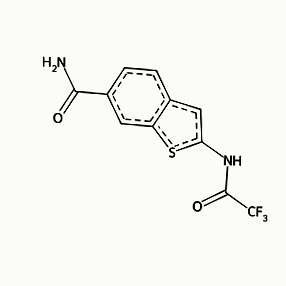 NC(=O)c1ccc2cc(NC(=O)C(F)(F)F)sc2c1